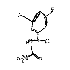 NC(=O)NC(=O)c1cc(F)cc(F)c1